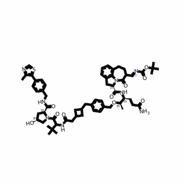 Cc1ncsc1-c1ccc(CNC(=O)[C@@H]2C[C@@H](O)CN2C(=O)C(NC(=O)CC2CC(Cc3ccc(CO[C@H](C)[C@H](CCC(N)=O)NC(=O)[C@@H]4Cc5cccc6c5N4C(=O)C(/C=N/C(=O)OC(C)(C)C)CC6)cc3)C2)C(C)(C)C)cc1